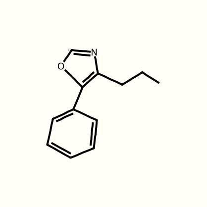 CCCc1n[c]oc1-c1ccccc1